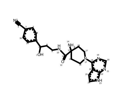 N#Cc1ccc(C(O)CCNC(=O)C2(N)CCN(c3ncnc4[nH]ccc34)CC2)cc1